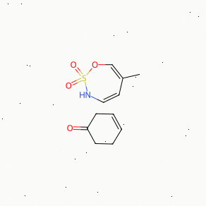 CC1=COS(=O)(=O)NC=C1.O=C1CC=CCC1